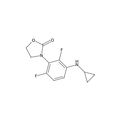 O=C1OCCN1c1c(F)ccc(NC2CC2)c1F